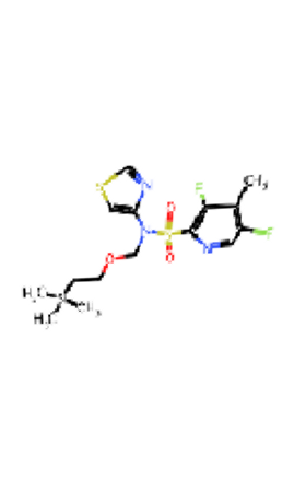 Cc1c(F)cnc(S(=O)(=O)N(COCC[Si](C)(C)C)c2cscn2)c1F